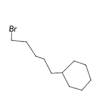 BrCCCCCC1CCCCC1